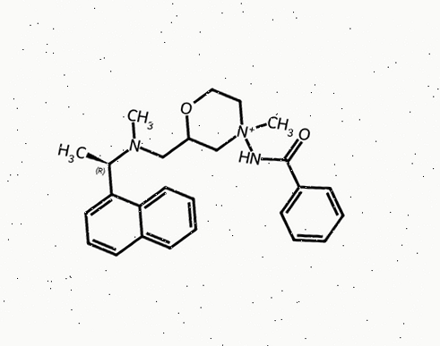 C[C@H](c1cccc2ccccc12)N(C)CC1C[N+](C)(NC(=O)c2ccccc2)CCO1